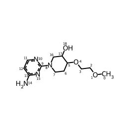 COCCOC1CCN(c2nccc(N)n2)CC1O